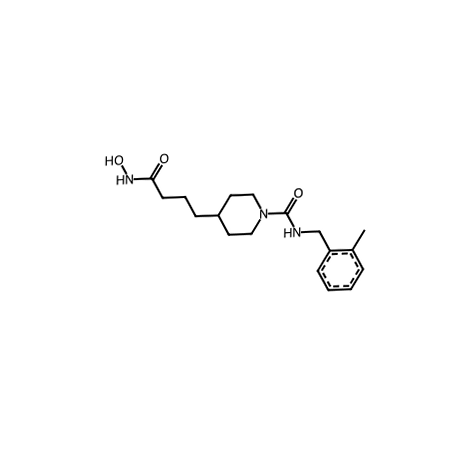 Cc1ccccc1CNC(=O)N1CCC(CCCC(=O)NO)CC1